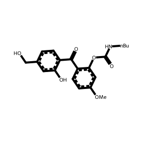 CCCCNC(=O)Oc1cc(OC)ccc1C(=O)c1ccc(CO)cc1O